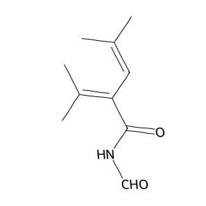 CC(C)=CC(C(=O)NC=O)=C(C)C